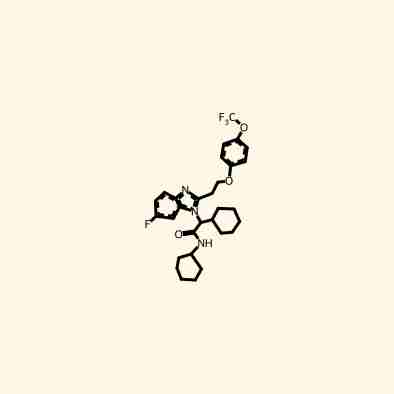 O=C(NC1CCCCC1)C(C1CCCCC1)n1c(CCOc2ccc(OC(F)(F)F)cc2)nc2ccc(F)cc21